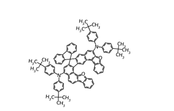 CC(C)(C)c1ccc(N(c2ccc(C(C)(C)C)cc2)c2cc3c(c4c2ccc2c5ccccc5oc24)-c2cc4c(cc2C32c3ccccc3-c3ccccc32)cc(N(c2ccc(C(C)(C)C)cc2)c2ccc(C(C)(C)C)cc2)c2oc3ccccc3c24)cc1